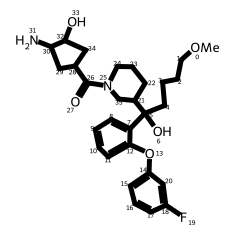 COCCCCC(O)(c1ccccc1Oc1cccc(F)c1)C1CCCN(C(=O)C2CC(N)C(O)C2)C1